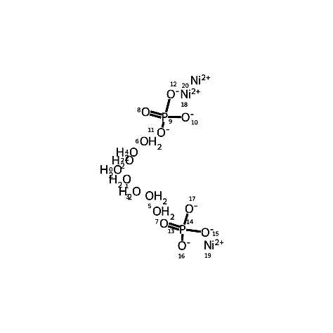 O.O.O.O.O.O.O.O.O=P([O-])([O-])[O-].O=P([O-])([O-])[O-].[Ni+2].[Ni+2].[Ni+2]